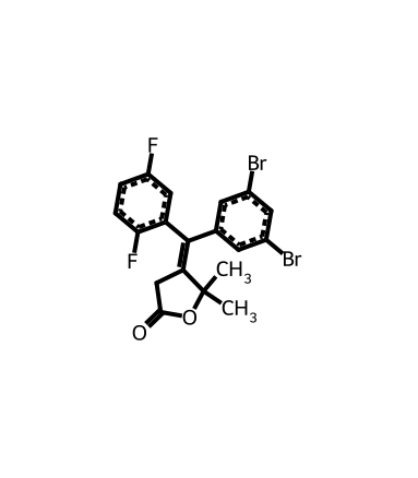 CC1(C)OC(=O)C/C1=C(/c1cc(Br)cc(Br)c1)c1cc(F)ccc1F